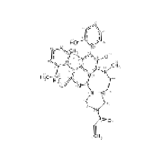 C=CC(=O)N1CCN2c3nc(=O)n(-c4c(C)ccnc4C(C)C)c4c(F)c(-c5ccccc5O)c(Cl)c(c34)N(C)CCC2C1